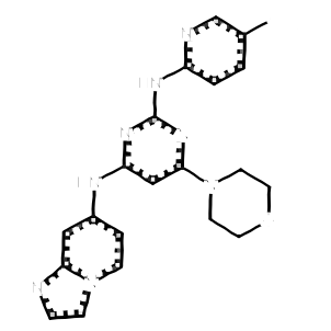 Cc1ccc(Nc2nc(Nc3ccn4ccnc4c3)cc(N3CCOCC3)n2)nc1